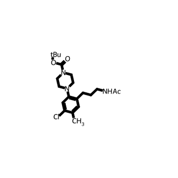 CC(=O)NCCCc1cc(C)c(Cl)cc1N1CCN(C(=O)OC(C)(C)C)CC1